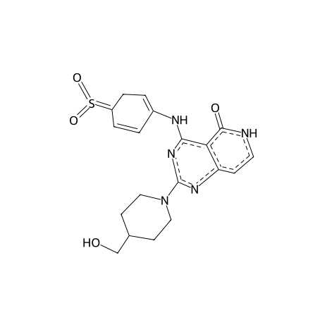 O=c1[nH]ccc2nc(N3CCC(CO)CC3)nc(NC3=CCC(=S(=O)=O)C=C3)c12